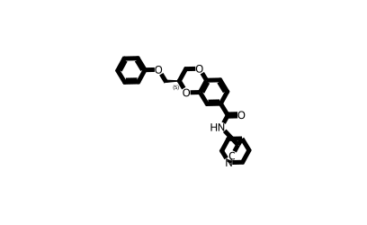 O=C(NC1CN2CCC1CC2)c1ccc2c(c1)O[C@@H](COc1ccccc1)CO2